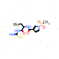 CC(C)(C)CC(NC(=O)c1ccn(S(C)(=O)=O)c1)C(=O)NC(=N)S